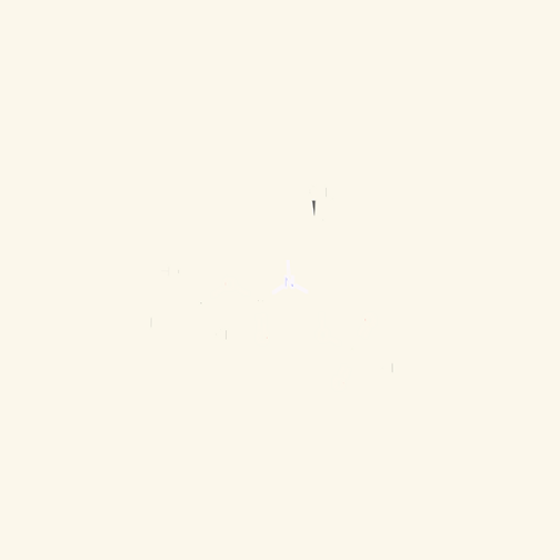 C[C@H]1CC=C(OS(C)(=O)=O)N(C(=O)OC(C)(C)C)C1